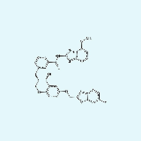 COc1cccc2sc(NC(=O)c3cccc(C[C@@H]4COc5ccc(OCc6nc7cc(F)ccc7s6)cc5[C@@H]4O)c3)nc12